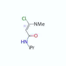 CN/C(Cl)=C\C(=O)NC(C)C